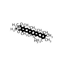 COC(=O)c1c(C)c2c(c(C)c1C(=O)OC)Cc1c(C)c3c(c(C)c1C2)Cc1c(C)c2c(c(C)c1C3)Cc1c(C)c(C)c(C)c(C)c1C2